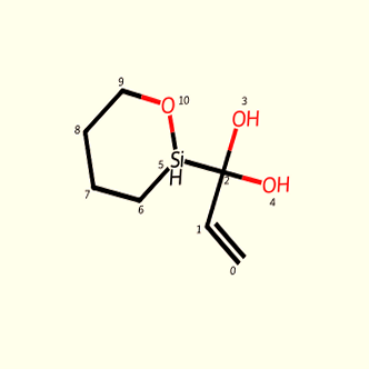 C=CC(O)(O)[SiH]1CCCCO1